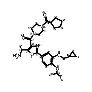 C[C@H](N)c1oc(-c2ccc(OC(F)F)c(OCC3CC3)c2)nc1C(=O)N1CCN(C(=O)C2CCCC2)CC1